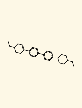 CCC1CC=C(c2ccc(-c3ccc([C@H]4CC[C@H](CC)CC4)cc3)cc2)CC1